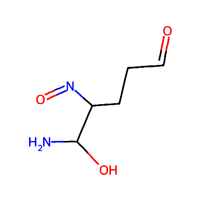 NC(O)C(CCC=O)N=O